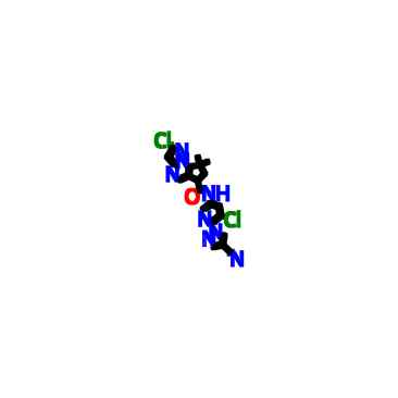 CC1(C)CC(C(=O)Nc2cnc(-n3cc(C#N)cn3)c(Cl)c2)c2cnc3cc(Cl)nn3c21